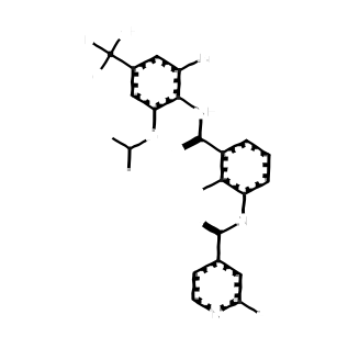 O=C(Nc1cccc(C(=O)Nc2c(Br)cc(C(F)(C(F)(F)F)C(F)(F)F)cc2OC(F)F)c1F)c1ccnc(F)c1